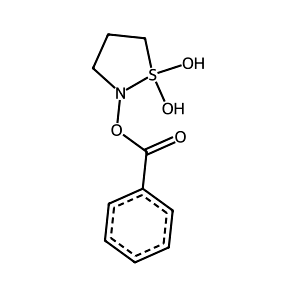 O=C(ON1CCCS1(O)O)c1ccccc1